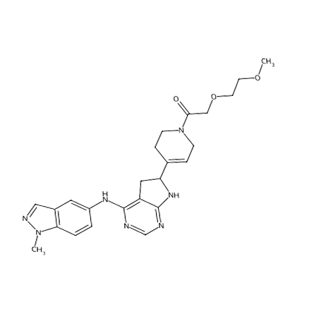 COCCOCC(=O)N1CC=C(C2Cc3c(Nc4ccc5c(cnn5C)c4)ncnc3N2)CC1